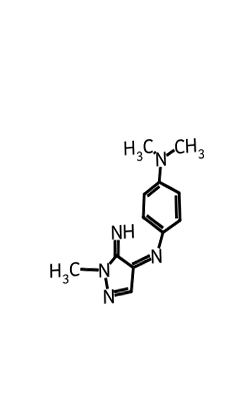 CN1N=CC(=Nc2ccc(N(C)C)cc2)C1=N